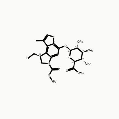 COC(=O)[C@H]1O[C@@H](Oc2cc3c(c4c(C)csc24)[C@H](CCl)CN3C(=O)OC(C)(C)C)[C@H](OC(C)=O)[C@@H](OC(C)=O)[C@@H]1OC(C)=O